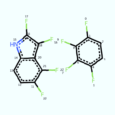 Fc1ccc(F)c(F)c1F.Fc1ccc2[nH]c(F)c(F)c2c1F